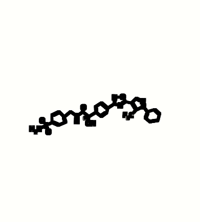 NS(=O)(=O)c1ccc(CNC(=O)[C@H](O)c2ccc(-c3noc(-c4cnn(-c5ccccc5)c4C(F)(F)F)n3)cc2)cc1